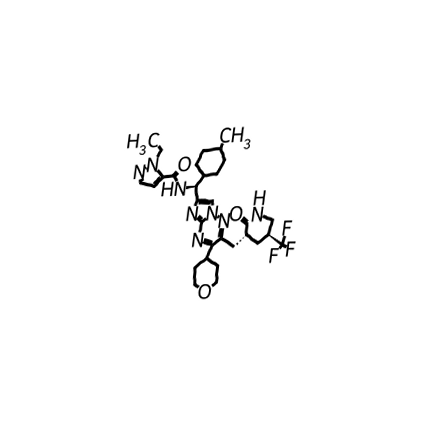 CCn1nccc1C(=O)N[C@H](c1cn2nc(C[C@H]3C[C@H](C(F)(F)F)CNC3=O)c(C3CCOCC3)nc2n1)C1CCC(C)CC1